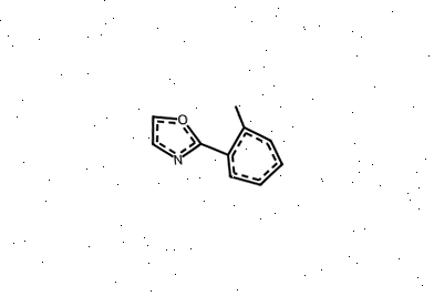 [CH2]c1ccccc1-c1ncco1